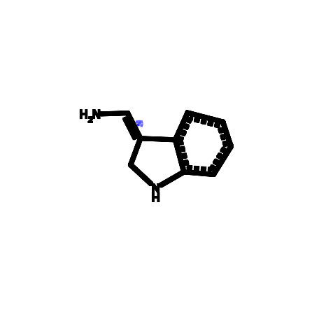 N/C=C1\CNc2ccccc21